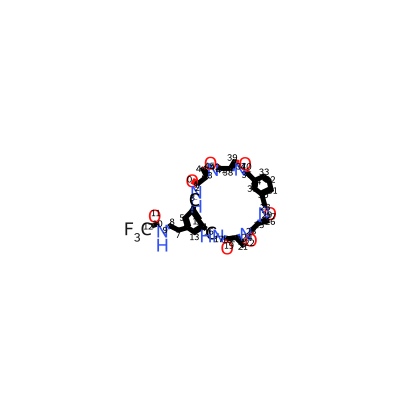 O=C1NCc2cc(CCNC(=O)C(F)(F)F)cc(c2)CNC(=O)c2coc(n2)-c2coc(n2)-c2cccc(c2)-c2nc(co2)-c2nc1co2